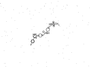 CS(=O)(=O)NCCN1CCC(NC(=O)CN2CCN(c3nncc(-c4ccc(F)cc4)n3)CC2)CC1